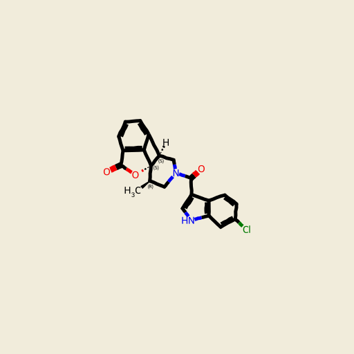 C[C@@H]1CN(C(=O)c2c[nH]c3cc(Cl)ccc23)C[C@@H]2c3cccc4c3[C@]12OC4=O